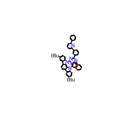 CC(C)(C)c1ccc2c(c1)c1ccc3c4cc(C(C)(C)C)ccc4n(-c4nc(-c5ccccc5)nc(-c5cccc(-c6cccc(-c7ccccc7)n6)c5)n4)c3c1n2-c1ccccc1